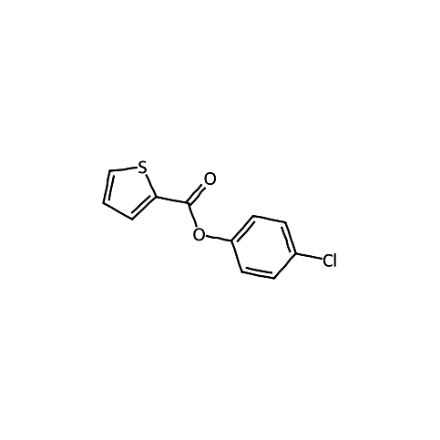 O=C(Oc1ccc(Cl)cc1)c1cccs1